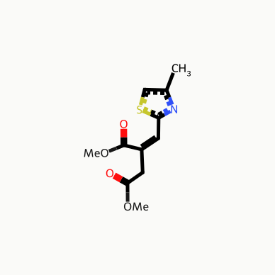 COC(=O)CC(=Cc1nc(C)cs1)C(=O)OC